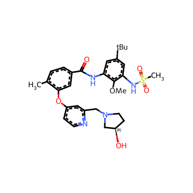 COc1c(NC(=O)c2ccc(C)c(Oc3ccnc(CN4CC[C@@H](O)C4)c3)c2)cc(C(C)(C)C)cc1NS(C)(=O)=O